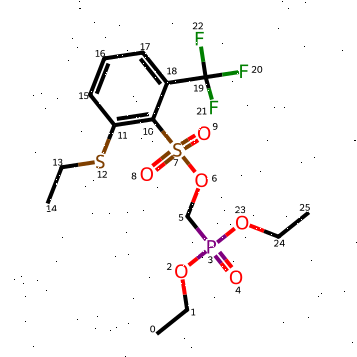 CCOP(=O)(COS(=O)(=O)c1c(SCC)cccc1C(F)(F)F)OCC